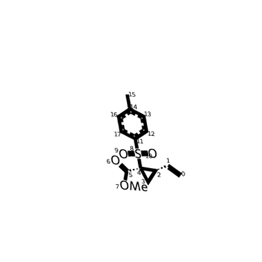 C=C[C@@H]1C[C@@]1(C(=O)OC)S(=O)(=O)c1ccc(C)cc1